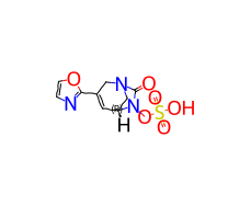 O=C1N2CC(c3ncco3)=C[C@H](C2)N1OS(=O)(=O)O